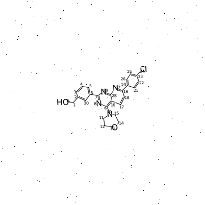 OCc1cccc(-c2nc(N3CCOCC3)c3ccc(-c4ccc(Cl)cc4)nc3n2)c1